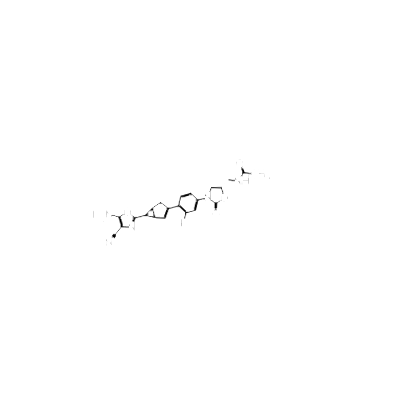 CC(=O)NC[C@H]1CN(c2ccc(C3=CC4C(C3)C4c3nc(C#N)c(N)o3)c(F)c2)C(=O)O1